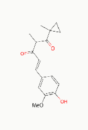 COc1cc(/C=C/C(=O)C(C)C(=O)C2(C)CC2)ccc1O